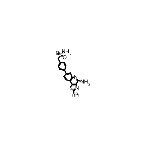 CCCc1nc2c(N)nc3cc(-c4ccc(CS(N)(=O)=O)cc4)ccc3c2s1